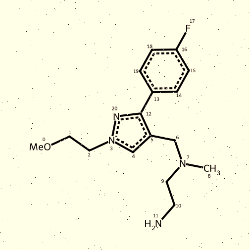 COCCn1cc(CN(C)CCN)c(-c2ccc(F)cc2)n1